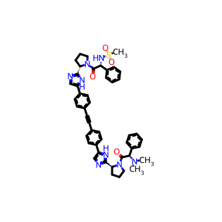 CN(C)[C@@H](C(=O)N1CCC[C@H]1c1ncc(-c2ccc(C#Cc3ccc(-c4cnc([C@@H]5CCCN5C(=O)[C@H](NS(C)(=O)=O)c5ccccc5)[nH]4)cc3)cc2)[nH]1)c1ccccc1